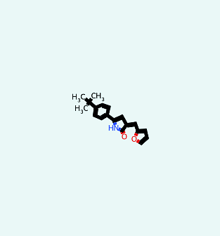 CC(C)(C)c1ccc(C2=CC(=Cc3ccco3)C(=O)N2)cc1